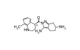 Cc1cccc2c1NCC[C@@H]2C(=O)n1nc2c(c1N)CCC(N)C2